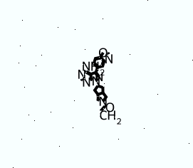 C=CC(=O)N1CC2CC(n3nc(-c4ccc5ocnc5c4)c4c(N)ncnc43)CC2C1